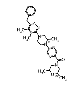 Cc1c(Cc2ccccc2)nnc(N2CCN(c3cnc(C(=O)N4CC(C)O[C@H](C)C4)cn3)[C@H](C)C2)c1C